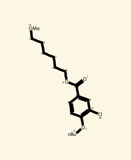 CCCCOc1ccc(C(=O)OCCCCCCOC)cc1Cl